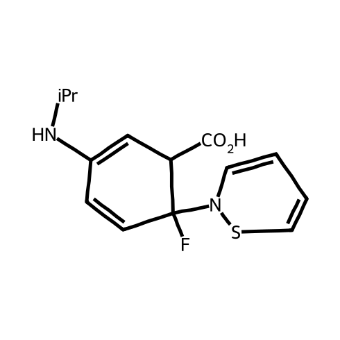 CC(C)NC1=CC(C(=O)O)C(F)(N2C=CC=CS2)C=C1